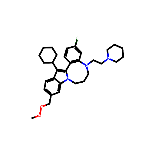 COOCc1ccc2c(C3CCCCC3)c3n(c2c1)CCCN(CCN1CCCCC1)c1cc(Cl)ccc1-3